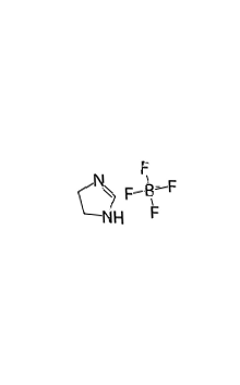 C1=NCCN1.F[B-](F)(F)F